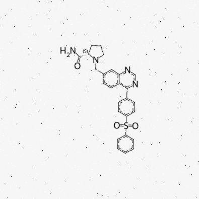 NC(=O)[C@@H]1CCCN1Cc1ccc2c(-c3ccc(S(=O)(=O)c4ccccc4)cc3)ncnc2c1